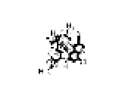 Cc1nc([C@H](Nc2cc(Cl)c3ncc(C#N)c(NCC(C)(C)C)c3c2)c2cn(C3(C(F)F)CC3)nn2)c(C)o1